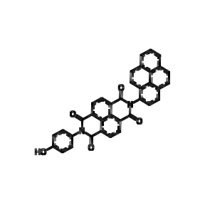 O=C1c2ccc3c4c(ccc(c24)C(=O)N1c1ccc(O)cc1)C(=O)N(c1ccc2ccc4cccc5ccc1c2c45)C3=O